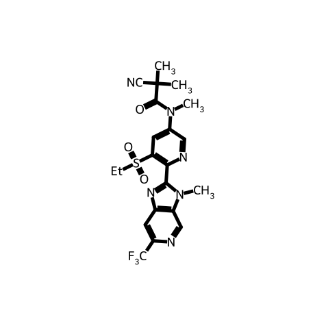 CCS(=O)(=O)c1cc(N(C)C(=O)C(C)(C)C#N)cnc1-c1nc2cc(C(F)(F)F)ncc2n1C